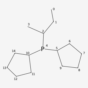 CCC(C)P(C1CCCC1)C1CCCC1